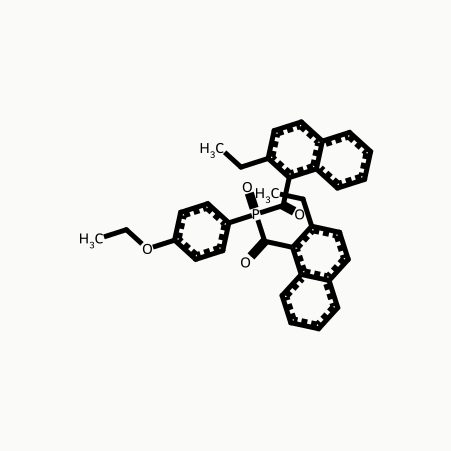 CCOc1ccc(P(=O)(C(=O)c2c(CC)ccc3ccccc23)C(=O)c2c(CC)ccc3ccccc23)cc1